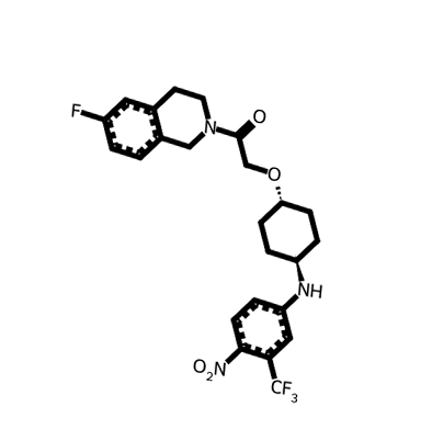 O=C(CO[C@H]1CC[C@H](Nc2ccc([N+](=O)[O-])c(C(F)(F)F)c2)CC1)N1CCc2cc(F)ccc2C1